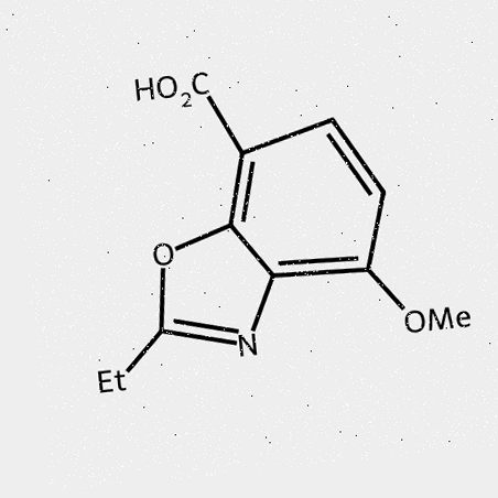 CCc1nc2c(OC)ccc(C(=O)O)c2o1